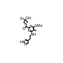 CCC1(O)CN(C(=O)c2nc(NCCc3cn[nH]c3)c(C)c(SC)n2)C1